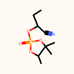 CCC(C#N)OP1(=O)OC(C)C(C)(C)O1